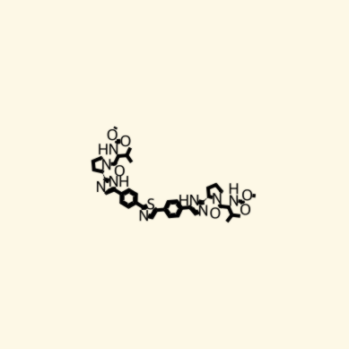 COC(=O)N[C@H](C(=O)N1CCC[C@H]1c1ncc(-c2ccc(-c3cnc(-c4ccc(-c5cnc([C@@H]6CCCN6C(=O)[C@@H](NC(=O)OC)C(C)C)[nH]5)cc4)s3)cc2)[nH]1)C(C)C